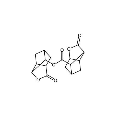 O=C1OC2C3CC(CC13)C2OC(=O)C1C2CC3OC(=O)C1C3C2